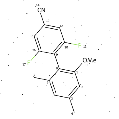 COc1cc(C)cc(C)c1-c1c(F)cc(C#N)cc1F